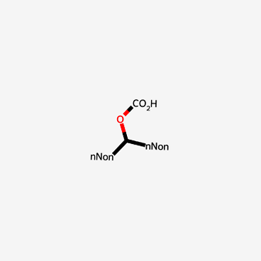 CCCCCCCCCC(CCCCCCCCC)OC(=O)O